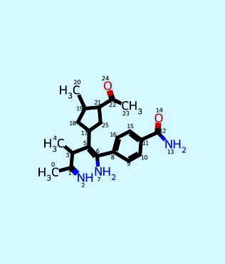 CC(=N)C(C)/C(=C(\N)c1ccc(C(N)=O)cc1)C1CC(C)C(C(C)=O)C1